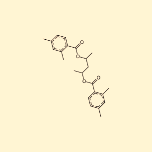 Cc1ccc(C(=O)OC(C)CC(C)OC(=O)c2ccc(C)cc2C)c(C)c1